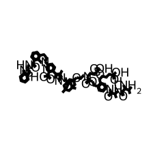 Cc1c(-c2ccc(N3CCc4cccc(C(=O)Nc5nc6ccccc6s5)c4C3)nc2C(=O)O)cnn1CC12CC3(C)CC(C)(C1)CC(OCCN(CCS(=O)(=O)O)C(=O)OCc1ccc(NC(=O)C(C)NC(=O)C(N)C(C)C)cc1CCCCC(=O)O)(C3)C2